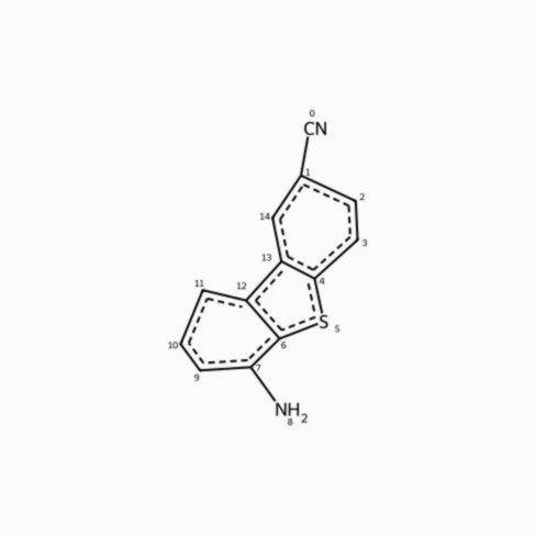 N#Cc1ccc2sc3c(N)cccc3c2c1